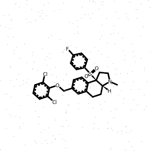 CN1CC[C@@]2(S(=O)(=O)c3ccc(F)cc3)c3ccc(COc4c(Cl)cccc4Cl)cc3CC[C@@H]12